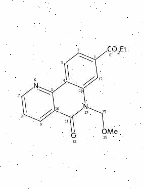 CCOC(=O)c1ccc2c3ncccc3c(=O)n(COC)c2c1